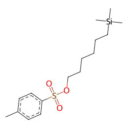 Cc1ccc(S(=O)(=O)OCCCCCC[Si](C)(C)C)cc1